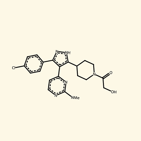 CNc1nccc(-c2c(-c3ccc(Cl)cc3)n[nH]c2C2CCN(C(=O)CO)CC2)n1